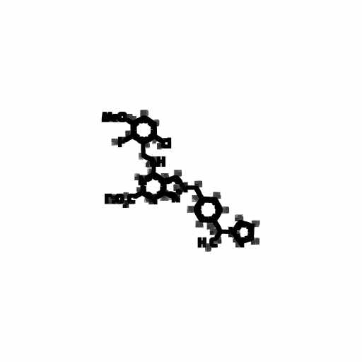 CCOC(=O)c1nc(NCc2c(Cl)ccc(OC)c2F)c2cn(Cc3ccc(C(C)n4cccn4)cc3)nc2n1